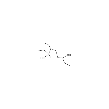 CCC(O)CCC(CC)C(C)(O)CC